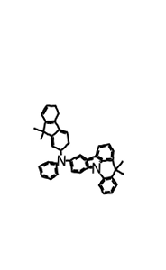 CC1(C)C2=CC(N(c3ccccc3)c3ccc4c(c3)c3cccc5c3n4-c3ccccc3C5(C)C)CC=C2C2=C1C=CCC2